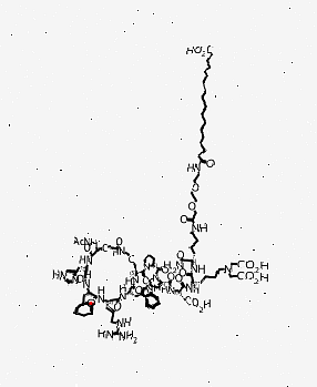 CC(=O)N[C@H]1CCC(=O)NCCC[C@@H](C(=O)N2CCC[C@H]2C(=O)N2CCC[C@H]2C(=O)N[C@@H](CC(=O)O)C(=O)N[C@@H](CCCCN(CC(=O)O)CC(=O)O)C(=O)N[C@@H](CCCCNC(=O)COCCOCCNC(=O)CCCCCCCCCCCCCCCCC(=O)O)C(N)=O)NC(=O)[C@H](Cc2c[nH]c3ccccc23)NC(=O)[C@H](CCCNC(=N)N)NC(=O)[C@@H](Cc2ccccc2)NC(=O)[C@H](Cc2c[nH]cn2)NC1=O